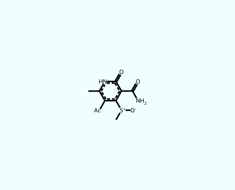 CC(=O)c1c(C)[nH]c(=O)c(C(N)=O)c1[S+](C)[O-]